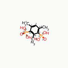 Cc1cc(C)c(P(=O)(O)O)c(C)c1P(=O)(O)O